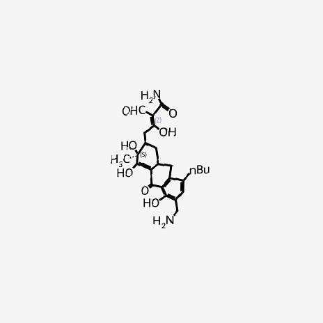 CCCCc1cc(CN)c(O)c2c1CC1CC(C/C(O)=C(\C=O)C(N)=O)[C@](C)(O)C(O)=C1C2=O